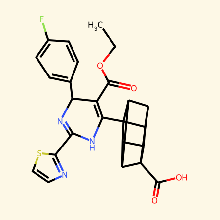 CCOC(=O)C1=C(C23C4C5C2C2C3C4C52C(=O)O)NC(c2nccs2)=NC1c1ccc(F)cc1